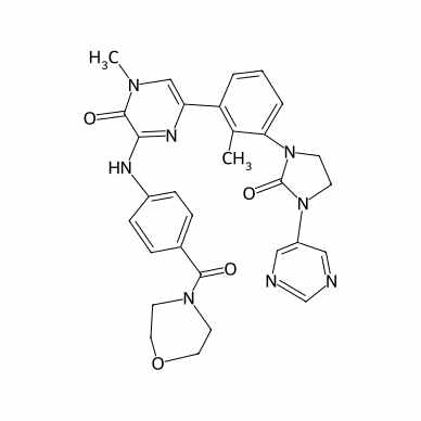 Cc1c(-c2cn(C)c(=O)c(Nc3ccc(C(=O)N4CCOCC4)cc3)n2)cccc1N1CCN(c2cncnc2)C1=O